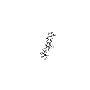 Cl.Cn1c(=O)c(Cc2ccc(C(=N)N)cn2)nc2cc(C(C)(C)C(=O)N3CCCC3)ccc21